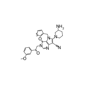 COc1cccc(C(=O)Cn2cnc3c(C#N)c(N4CCCC(N)C4)n(Cc4ccsc4)c3c2=O)c1